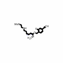 C#Cc1ccc(CO/C(=C/C=C\CCNCCNC)N=C)c(F)c1